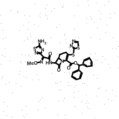 CON=C(C(=O)NC1C(=O)N2C(C(=O)OC(c3ccccc3)c3ccccc3)=C(Sc3nncs3)CCC12)c1nsc(N)n1